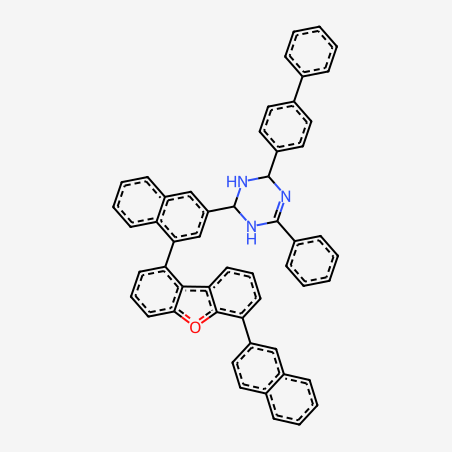 c1ccc(C2=NC(c3ccc(-c4ccccc4)cc3)NC(c3cc(-c4cccc5oc6c(-c7ccc8ccccc8c7)cccc6c45)c4ccccc4c3)N2)cc1